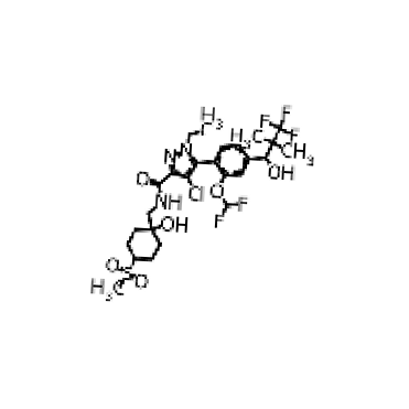 CCn1nc(C(=O)NCC2(O)CCC(S(C)(=O)=O)CC2)c(Cl)c1-c1ccc(C(O)C(C)(C)C(F)(F)F)cc1OC(F)F